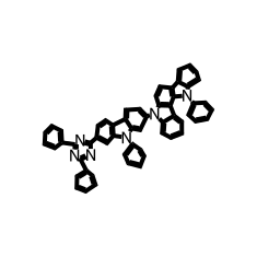 c1ccc(-c2nc(-c3ccccc3)nc(-c3ccc4c5ccc(-n6c7ccccc7c7c6ccc6c8ccccc8n(-c8ccccc8)c67)cc5n(-c5ccccc5)c4c3)n2)cc1